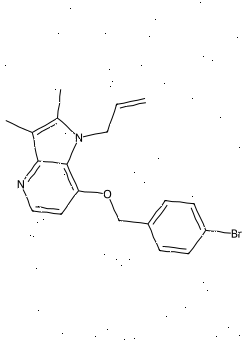 C=CCn1c(C)c(C)c2nccc(OCc3ccc(Br)cc3)c21